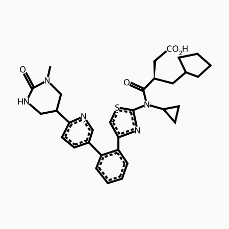 CN1CC(c2ccc(-c3ccccc3-c3csc(N(C(=O)[C@@H](CC(=O)O)CC4CCCC4)C4CC4)n3)cn2)CNC1=O